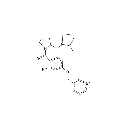 Cc1cccc(COc2ccc(C(=O)N3CCCC3CN3CCCC3C)c(F)c2)n1